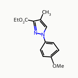 CCOC(=O)c1nn(-c2ccc(OC)cc2)cc1C